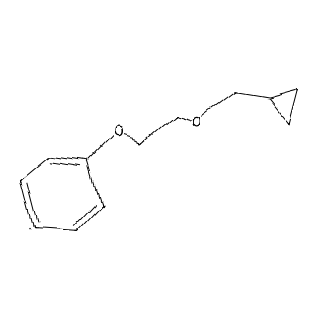 [c]1ccc(OCCOCC2CC2)cc1